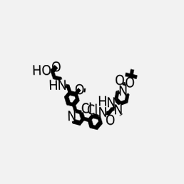 COc1cc(-c2nccc(-c3cccc(NC(=O)c4nc5c(n4C)CCN(C(=O)OC(C)(C)C)C5)c3Cl)c2Cl)ccc1CNCCC(=O)O